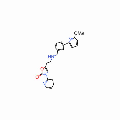 COc1cccc(-c2cccc(CNCCc3cn(C4=NC=CCC4)c(=O)o3)c2)n1